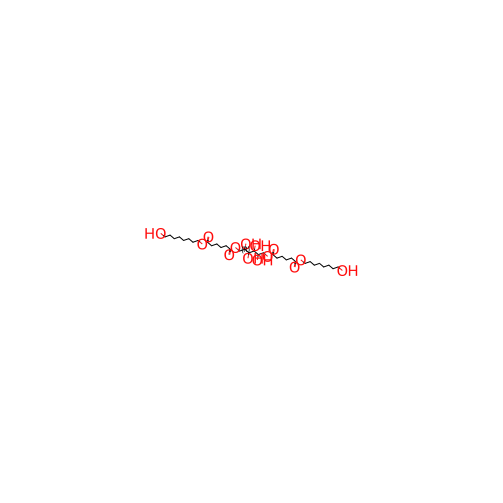 O=C(CCCCC(=O)OCC(O)C(O)C(O)[C@H](O)COC(=O)CCCCC(=O)OCCCCCCCCO)OCCCCCCCCO